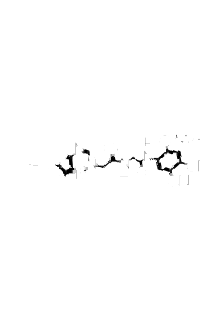 COc1cc(Cl)c(C)cc1NC(=O)CNC(=O)CN(C=O)/C=N\c1ccc(C)s1